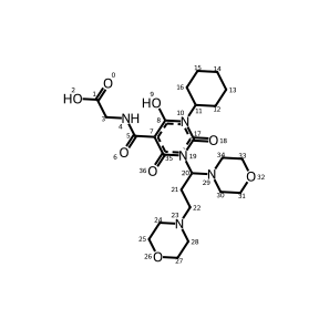 O=C(O)CNC(=O)c1c(O)n(C2CCCCC2)c(=O)n(C(CCN2CCOCC2)N2CCOCC2)c1=O